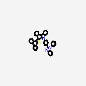 c1ccc(-n2c(-c3ccc(-n4c5ccccc5c5c6ccccc6c6c(sc7c8ccccc8c8ccccc8c76)c54)cc3)nc3ccccc32)cc1